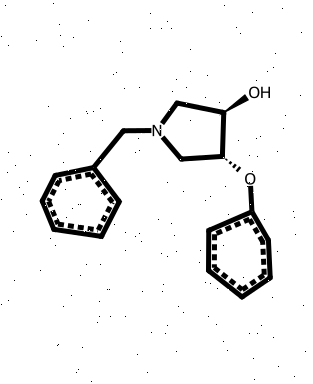 O[C@@H]1CN(Cc2ccccc2)C[C@H]1Oc1ccccc1